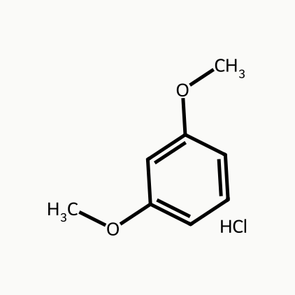 COc1cccc(OC)c1.Cl